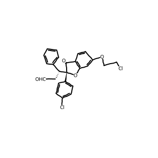 O=CC[C@H](c1ccccc1)[C@@]1(c2ccc(Cl)cc2)Oc2cc(OCCCl)ccc2C1=O